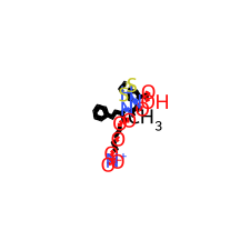 CC(NC(CCc1ccccc1)C(=O)OCCOCCO[N+](=O)[O-])C(=O)N1CC2(CC1C(=O)O)SCCS2